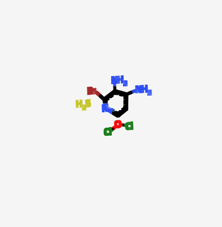 ClOCl.Nc1ccnc(Br)c1N.S